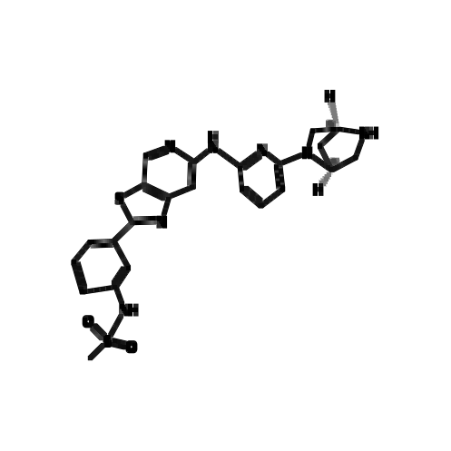 CS(=O)(=O)Nc1cccc(-c2nc3cc(Nc4cccc(N5C[C@@H]6C[C@H]5CN6)n4)ncc3s2)c1